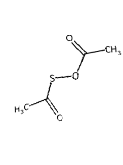 CC(=O)OSC(C)=O